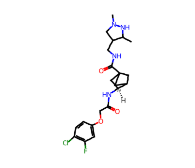 CC1NN(C)CC1CNC(=O)C12CC(C1)[C@@H](NC(=O)COc1ccc(Cl)c(F)c1)C2